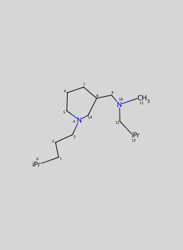 CC(C)CCCN1CCCC(CN(C)CC(C)C)C1